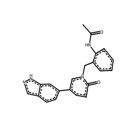 CC(=O)Nc1ccccc1Cn1cc(-c2ccc3cn[nH]c3c2)ccc1=O